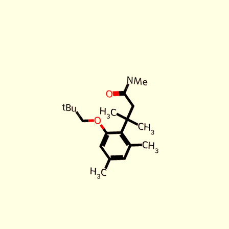 CNC(=O)CC(C)(C)c1c(C)cc(C)cc1OCC(C)(C)C